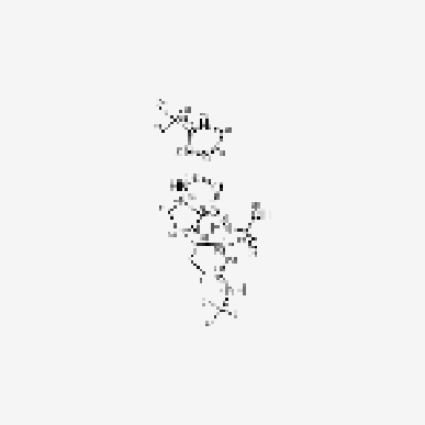 CC(C)(C)N[C@@H]1CC[C@H](N2CC[C@H](NC(=O)c3ccnc(C(C)(C)C)n3)C2=O)[C@H](NC(=O)O)C1